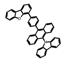 c1ccc2c(c1)oc1c(-c3ccc(-c4c5ccccc5c(-n5c6ccccc6c6ccccc65)c5ccccc45)cc3)cccc12